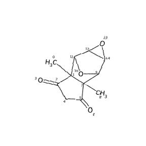 CC12C(=O)CC(=O)C1(C)C1OC2C2OC21